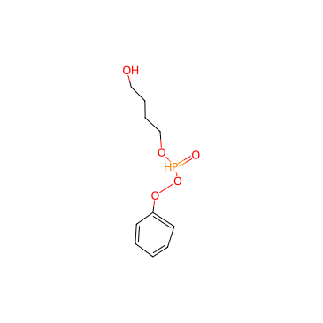 O=[PH](OCCCCO)OOc1ccccc1